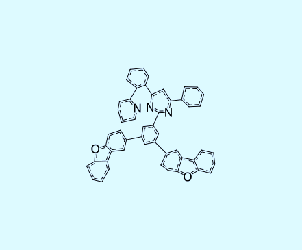 c1ccc(-c2cc(-c3ccccc3-c3ccccn3)nc(-c3cc(-c4ccc5oc6ccccc6c5c4)cc(-c4ccc5oc6ccccc6c5c4)c3)n2)cc1